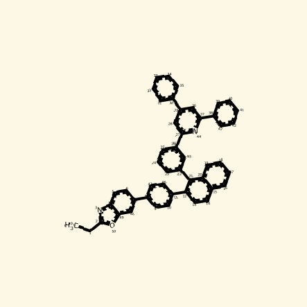 CCc1nc2ccc(-c3ccc(-c4ccc5ccccc5c4-c4cccc(-c5cc(-c6ccccc6)cc(-c6ccccc6)n5)c4)cc3)cc2o1